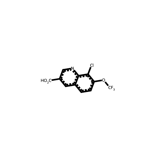 O=C(O)c1cnc2c(Cl)c(OC(F)(F)F)ccc2c1